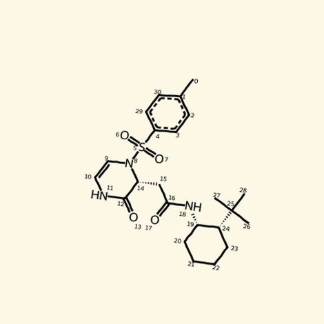 Cc1ccc(S(=O)(=O)N2C=CNC(=O)[C@H]2CC(=O)N[C@H]2CCCC[C@H]2C(C)(C)C)cc1